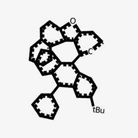 CC(C)(C)c1ccc2c(-c3cccc4oc5ccc6ccccc6c5c34)c3ccccc3c(-c3ccccc3)c2c1